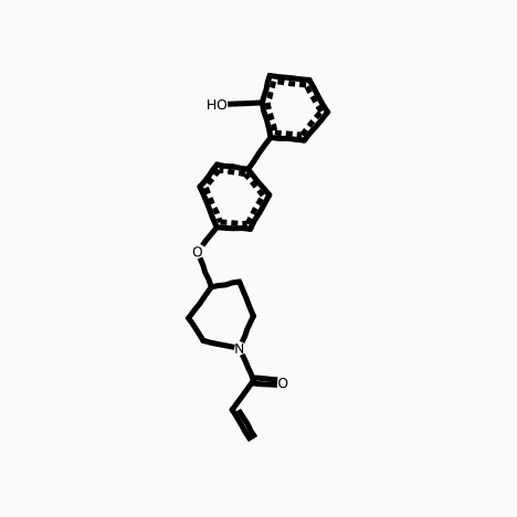 C=CC(=O)N1CCC(Oc2ccc(-c3ccccc3O)cc2)CC1